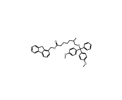 COc1ccc(C(OCC(C)CCCCC(=O)OCc2cccc3c2Cc2ccccc2-3)(c2ccccc2)c2ccc(OC)cc2)cc1